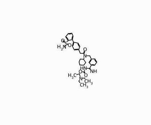 CCN(CC)C(C)OC(=O)NC(=N)c1cccc(CN(C(=O)Cc2ccc(-c3ccccc3S(N)(=O)=O)cc2)C2CCCCC2)c1